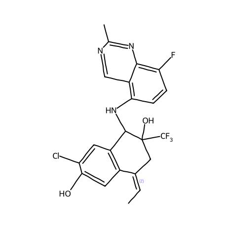 C/C=C1/CC(O)(C(F)(F)F)C(Nc2ccc(F)c3nc(C)ncc23)c2cc(Cl)c(O)cc21